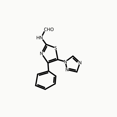 O=CNc1nc(-c2ccccc2)c(-n2cncn2)s1